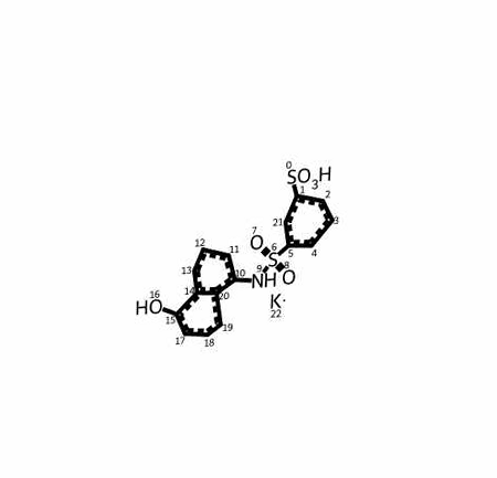 O=S(=O)(O)c1cccc(S(=O)(=O)Nc2cccc3c(O)cccc23)c1.[K]